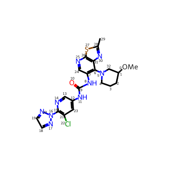 COC1CCCN(c2c(NC(=O)Nc3cnc(-n4nccn4)c(Cl)c3)cnc3sc(C)nc23)C1